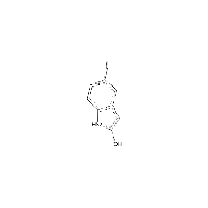 Oc1cc2cc(F)ccc2[nH]1